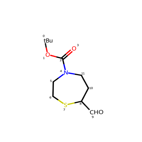 CC(C)(C)OC(=O)N1CCSC(C=O)CC1